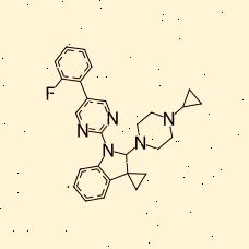 Fc1ccccc1-c1cnc(N2c3c[c]ccc3C3(CC3)C2N2CCN(C3CC3)CC2)nc1